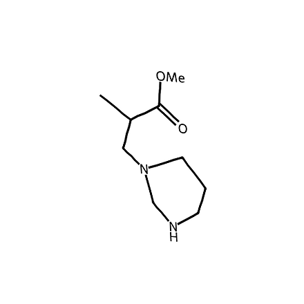 COC(=O)C(C)CN1CCCNC1